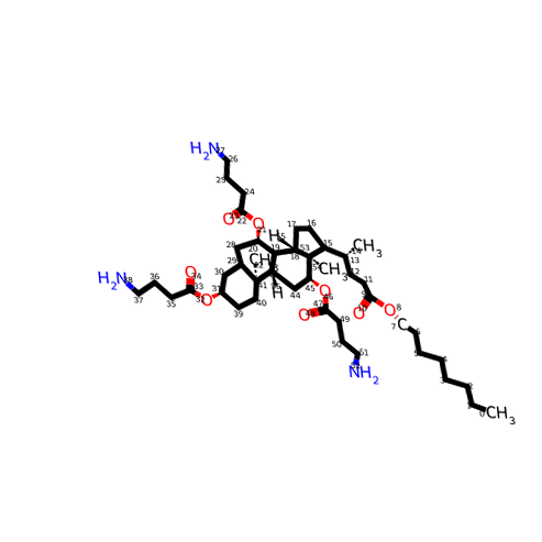 CCCCCCCCOC(=O)CC[C@@H](C)C1CC[C@H]2C3[C@H](OC(=O)CCCN)CC4C[C@H](OC(=O)CCCN)CC[C@]4(C)[C@H]3C[C@H](OC(=O)CCCN)[C@]12C